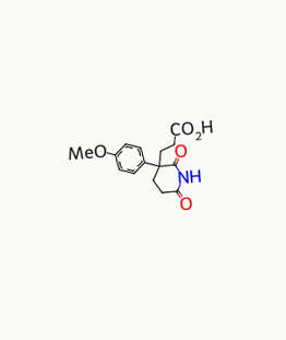 COc1ccc(C2(CCC(=O)O)CCC(=O)NC2=O)cc1